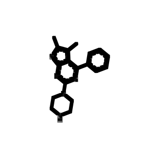 Cc1sc2nc(N3CCNCC3)nc(-c3ccccc3)c2c1C